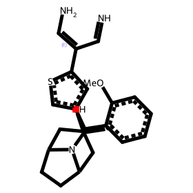 COc1ccccc1C1(O)CC2CCC(C1)N2C(=O)c1csc(/C(C=N)=C/N)c1